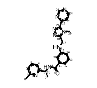 Cc1cccc([C@H](C)NC(=O)c2cccc(NCc3nnc(-c4ccncn4)n3C)c2)n1